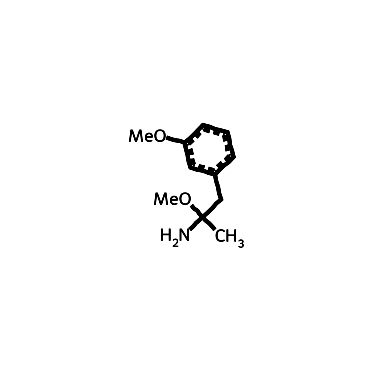 COc1cccc(CC(C)(N)OC)c1